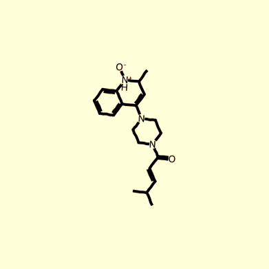 CC(C)/C=C/C(=O)N1CCN(C2=CC(C)[NH+]([O-])c3ccccc32)CC1